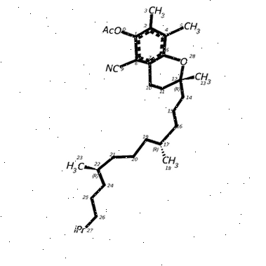 CC(=O)Oc1c(C)c(C)c2c(c1C#N)CC[C@@](C)(CCC[C@H](C)CCC[C@H](C)CCCC(C)C)O2